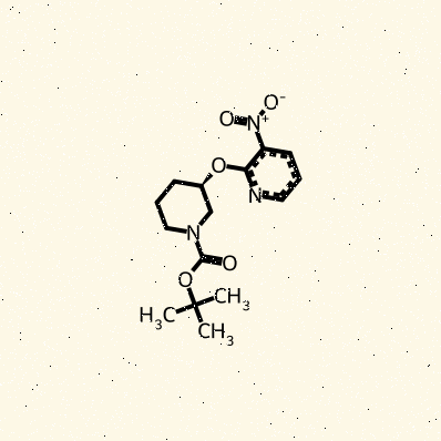 CC(C)(C)OC(=O)N1CCC[C@@H](Oc2ncccc2[N+](=O)[O-])C1